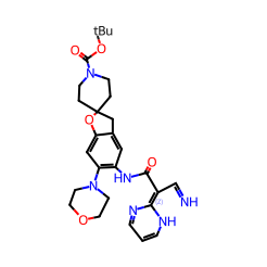 CC(C)(C)OC(=O)N1CCC2(CC1)Cc1cc(NC(=O)/C(C=N)=C3\N=CC=CN3)c(N3CCOCC3)cc1O2